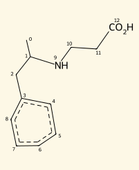 CC(Cc1ccccc1)NCCC(=O)O